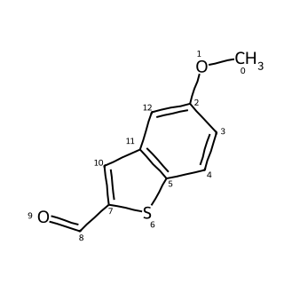 COc1ccc2sc(C=O)cc2c1